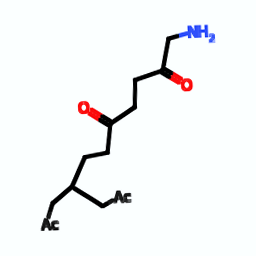 CC(=O)CC(CCC(=O)CCC(=O)CN)CC(C)=O